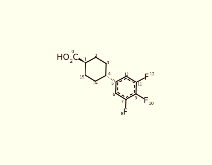 O=C(O)[C@H]1CC[C@H](c2cc(F)c(F)c(F)c2)CC1